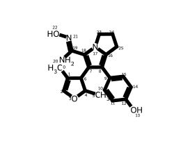 CC1=COC(C)C1c1c(-c2ccc(O)cc2)c2n(c1/C(N)=N/O)CCC2